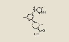 Cc1cc(Nc2cc(C)[nH]n2)cc(N2CCN(C(=O)O)C(C)C2)n1